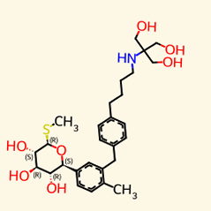 CS[C@H]1O[C@@H](c2ccc(C)c(Cc3ccc(CCCCNC(CO)(CO)CO)cc3)c2)[C@H](O)[C@@H](O)[C@@H]1O